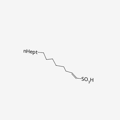 CCCCCCCCCCCCCC=CS(=O)(=O)O